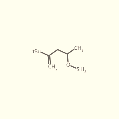 C=C(CC(C)O[SiH3])C(C)(C)C